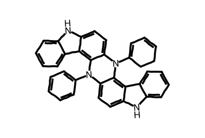 C1=CCCC(N2c3ccc4[nH]c5ccccc5c4c3N(c3ccccc3)c3ccc4[nH]c5ccccc5c4c32)=C1